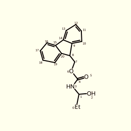 CCC(O)NC(=O)OCC1c2ccccc2-c2ccccc21